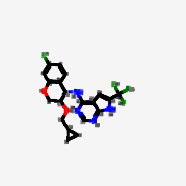 Fc1ccc2c(c1)OC[C@H](OCC1CC1)[C@H]2Nc1ncnc2[nH]c(C(F)(F)F)cc12